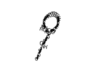 O=[C]COCCOCCNC(=O)COCCOCCNC(=O)C1C[C@@H](C(=O)O)NC(=O)CCCCCCCCCCCCCCCCCCC1=O